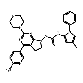 Cc1cc(NC(=O)ON2CCc3c(-c4cnc(N)nc4)nc(N4CCOCC4)nc32)n(-c2ccccc2)n1